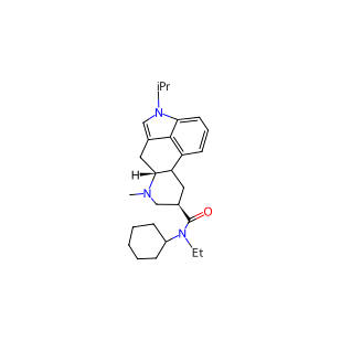 CCN(C(=O)[C@@H]1CC2c3cccc4c3c(cn4C(C)C)C[C@H]2N(C)C1)C1CCCCC1